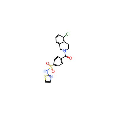 O=C(c1ccc(S(=O)(=O)Nc2nccs2)cc1)N1CCc2c(Cl)cccc2C1